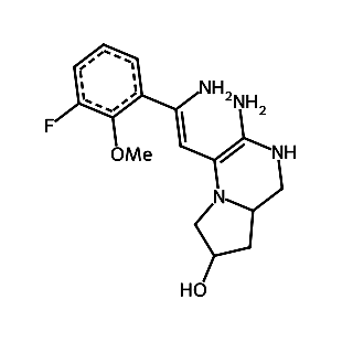 COc1c(F)cccc1/C(N)=C/C1=C(N)NCC2CC(O)CN12